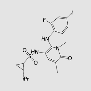 Cc1cc(NS(=O)(=O)C2CC2C(C)C)c(Nc2ccc(I)cc2F)n(C)c1=O